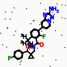 [2H]C([2H])([2H])c1ccc(-c2ccn3nc(N)nc3c2)c(F)c1C(=O)NCC1(C(O)c2ccc(F)cc2)CC1